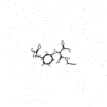 CCOC(=O)C(Oc1cccc(NC(C)=O)c1)C(C)=O